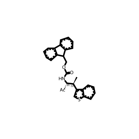 CC(=O)[C@H](NC(=O)OCC1c2ccccc2-c2ccccc21)[C@@H](C)c1csc2ccccc12